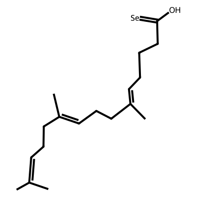 CC(C)=CCCC(C)=CCCC(C)=CCCCC(O)=[Se]